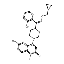 Cn1c(=O)cc(N2CCC(/C(=N/OCC3CC3)c3ncccc3O)CC2)c2nc(C#N)ccc21